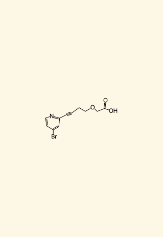 O=C(O)COCCC#Cc1cc(Br)ccn1